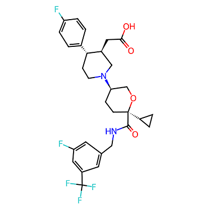 O=C(O)C[C@H]1CN([C@@H]2CC[C@@](C(=O)NCc3cc(F)cc(C(F)(F)F)c3)(C3CC3)OC2)CC[C@@H]1c1ccc(F)cc1